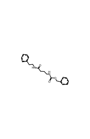 O=C(CCCNC(=O)OCc1ccccc1)NCCc1ccccc1